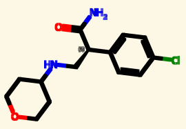 NC(=O)[C@H](CNC1CCOCC1)c1ccc(Cl)cc1